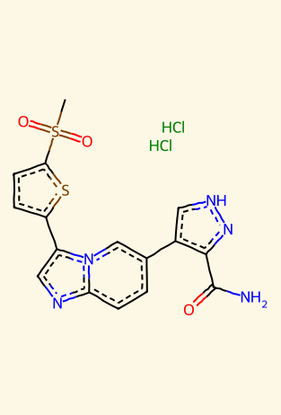 CS(=O)(=O)c1ccc(-c2cnc3ccc(-c4c[nH]nc4C(N)=O)cn23)s1.Cl.Cl